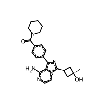 C[C@]1(O)C[C@@H](c2nc(-c3ccc(C(=O)N4CCCCC4)cc3)c3c(N)nccn32)C1